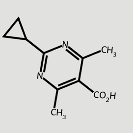 Cc1nc(C2CC2)nc(C)c1C(=O)O